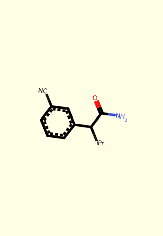 CC(C)C(C(N)=O)c1cccc(C#N)c1